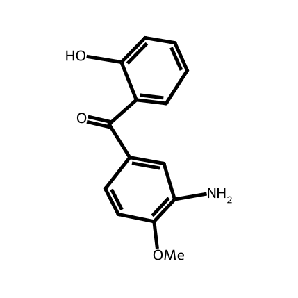 COc1ccc(C(=O)c2ccccc2O)cc1N